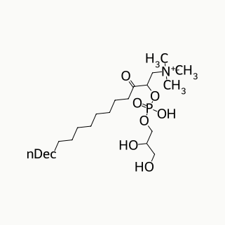 CCCCCCCCCCCCCCCCCCC(=O)C(C[N+](C)(C)C)OP(=O)(O)OCC(O)CO